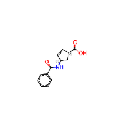 O=C(N[C@H]1C=C[C@@H](C(=O)O)C1)c1ccccc1